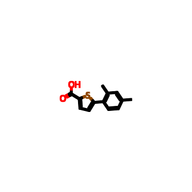 Cc1ccc(-c2ccc(C(=O)O)s2)c(C)c1